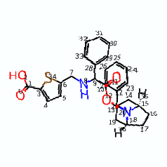 O=C(O)c1ccc(CNC(C(=O)OC2C[C@H]3CC[C@H](C2)N3Cc2ccccc2)c2ccccc2)s1